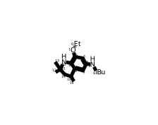 CCOc1cc(NC(C)CC)cc2c1NC(C)(C)CC2C